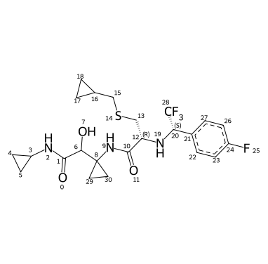 O=C(NC1CC1)C(O)C1(NC(=O)[C@H](CSCC2CC2)N[C@@H](c2ccc(F)cc2)C(F)(F)F)CC1